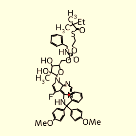 CCC(C)(C)C(=O)SCCOP(=O)(NCc1ccccc1)OC[C@H]1O[C@@H](n2cc(F)c3c(NC(c4ccccc4)(c4ccc(OC)cc4)c4ccc(OC)cc4)ncnc32)[C@@](C)(O)C1O